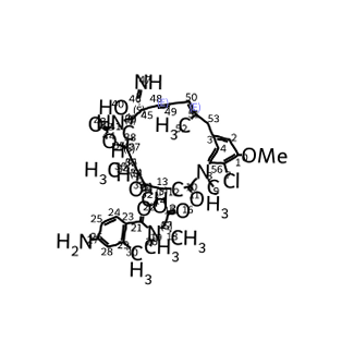 COc1cc2cc(c1Cl)N(C)C(=O)C[C@H](OC(=O)[C@H](C)N(C)C(=O)c1ccc(N)cc1C)[C@]1(C)O[C@H]1[C@H](C)[C@@H]1C[C@@](O)(NC(=O)O1)[C@H](C=N)/C=C/C=C(\C)C2